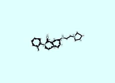 Cc1cc[c]cc1-n1ccc2ccc(OCCN3CCCC3)cc2c1=O